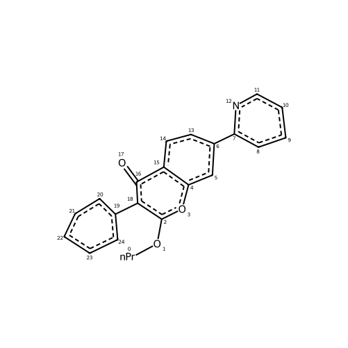 CCCOc1oc2cc(-c3ccccn3)ccc2c(=O)c1-c1ccccc1